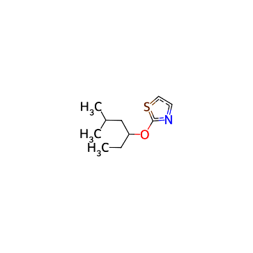 CCC(CC(C)C)Oc1nccs1